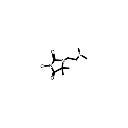 CN(C)CCN1C(=O)N(Cl)C(=O)C1(C)C